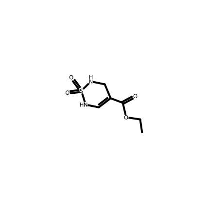 CCOC(=O)C1=CNS(=O)(=O)NC1